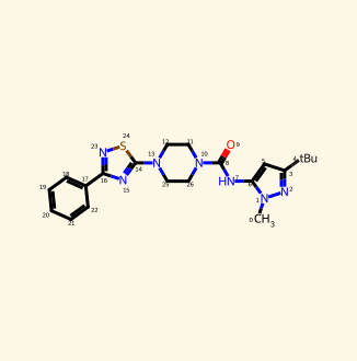 Cn1nc(C(C)(C)C)cc1NC(=O)N1CCN(c2nc(-c3ccccc3)ns2)CC1